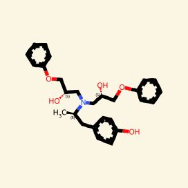 C[C@H](Cc1ccc(O)cc1)N(C[C@H](O)COc1ccccc1)C[C@H](O)COc1ccccc1